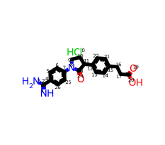 Cl.N=C(N)c1ccc(N2CCC(c3ccc(CCC(=O)O)cc3)C2=O)cc1